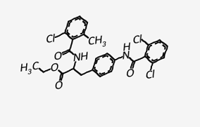 CCOC(=O)C(Cc1ccc(NC(=O)c2c(Cl)cccc2Cl)cc1)NC(=O)c1c(C)cccc1Cl